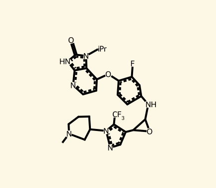 CC(C)n1c(=O)[nH]c2nccc(Oc3ccc(NC4OC4c4cnn(C5CCCN(C)C5)c4C(F)(F)F)cc3F)c21